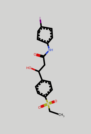 CCS(=O)(=O)c1ccc(C(O)CC(=O)Nc2ccc(I)cc2)cc1